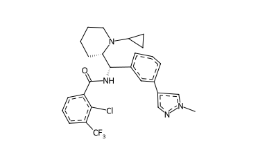 Cn1cc(-c2cccc([C@H](NC(=O)c3cccc(C(F)(F)F)c3Cl)[C@@H]3CCCCN3C3CC3)c2)cn1